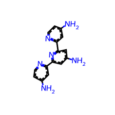 Nc1ccnc(-c2cc(N)cc(-c3cc(N)ccn3)n2)c1